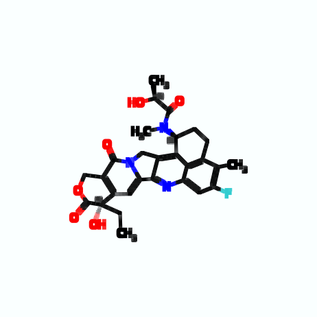 CC[C@@]1(O)C(=O)OCc2c1cc1n(c2=O)Cc2c-1nc1cc(F)c(C)c3c1c2[C@@H](N(C)C(=O)[C@H](C)O)CC3